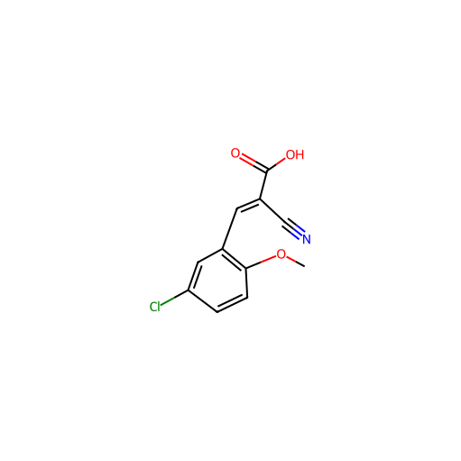 COc1ccc(Cl)cc1C=C(C#N)C(=O)O